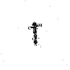 Cc1cccc2c(O)cc3c(c12)[C@H](CCl)CN3C(=O)c1nc(-c2ccc(NC(=O)c3ccc(N)cc3)cc2)cs1